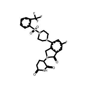 O=C1CCC(N2Cc3c(cc(F)cc3N3CCN(S(=O)(=O)c4ccccc4C(F)(F)F)CC3)C2=O)C(=O)N1